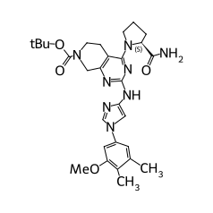 COc1cc(-n2cnc(Nc3nc4c(c(N5CCC[C@H]5C(N)=O)n3)CCN(C(=O)OC(C)(C)C)C4)c2)cc(C)c1C